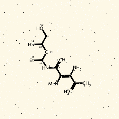 C=C(C)/C(N)=C(\NC)C(=C)NC(CC)OC(S)CO